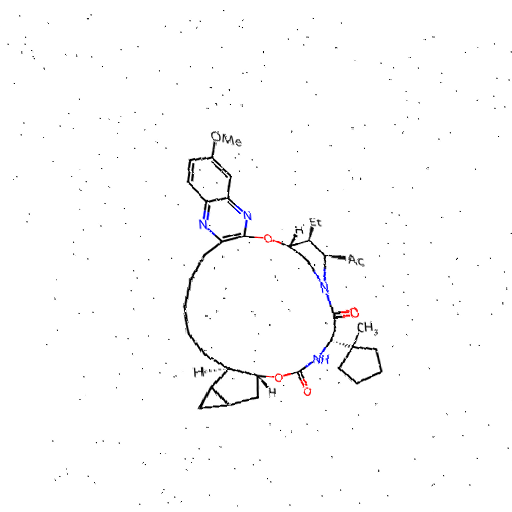 CC[C@@H]1[C@@H]2CN(C(=O)[C@H](C3(C)CCCC3)NC(=O)O[C@@H]3CC4CC4[C@H]3CCCCCc3nc4ccc(OC)cc4nc3O2)[C@@H]1C(C)=O